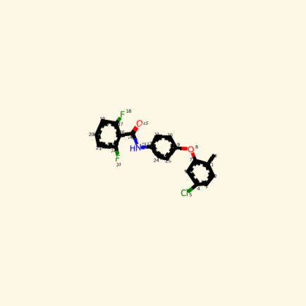 Cc1ccc(Cl)cc1Oc1ccc(NC(=O)c2c(F)cccc2F)cc1